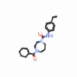 CCc1ccc(NC(=O)N2CCCN(C(=O)C3CCCCC3)CC2)cc1